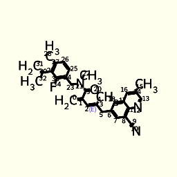 C=C(/C=C(\C)Cc1cc(C#N)c2ncc(C)cc2c1)C(=O)N(C)Cc1ccc(C)c(C(=C)C)c1F